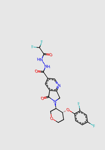 O=C(NNC(=O)C(F)F)c1cnc2c(c1)C(=O)N([C@@H]1COCC[C@H]1Oc1ccc(F)cc1F)C2